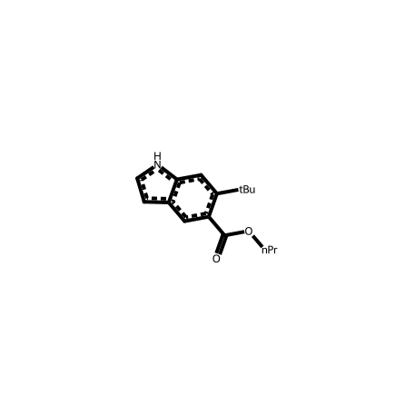 CCCOC(=O)c1cc2cc[nH]c2cc1C(C)(C)C